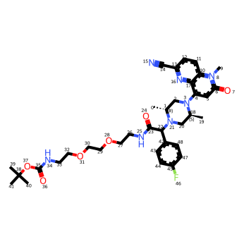 C[C@@H]1CN(c2cc(=O)n(C)c3ccc(C#N)nc23)[C@@H](C)CN1C(C(=O)NCCOCCOCCNC(=O)OC(C)(C)C)c1ccc(F)cc1